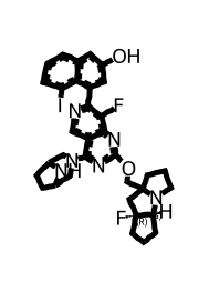 Oc1cc(-c2ncc3c(N4CC5CCC(C4)N5)nc(OCC45CCCN4[C@H]4CCC[C@@]4(F)C5)nc3c2F)c2c(I)cccc2c1